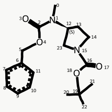 CN(C(=O)OCc1ccccc1)[C@H]1CCN(C(=O)OC(C)(C)C)C1